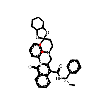 CC[C@H](NC(=O)c1c(CN2CCC3(CC2)OC2CCCCC2O3)n(-c2ccccc2)c(=O)c2ccccc12)c1ccccc1